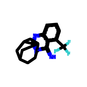 N=c1c2c(C(F)(F)F)cccc2nc2n1C1CC3CC(CC2C3)C1